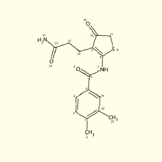 Cc1ccc(C(=O)NC2=C(CCC(N)=O)C(=O)CS2)cc1C